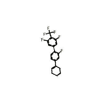 Fc1cc(C2=CC[CH]CC2)ccc1-c1cc(F)c(C(F)(F)F)c(F)c1